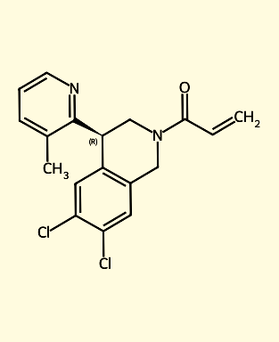 C=CC(=O)N1Cc2cc(Cl)c(Cl)cc2[C@@H](c2ncccc2C)C1